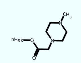 CCCCCCOC(=O)CN1CCN(C)CC1